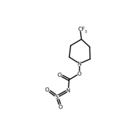 O=C(N=S(=O)=O)ON1CCC(C(F)(F)F)CC1